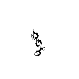 O=C(C1CCOC1)N1CCN(c2ccc(I)nn2)CC1